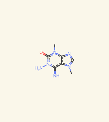 Cn1cnc2c1c(=N)n(N)c(=O)n2C